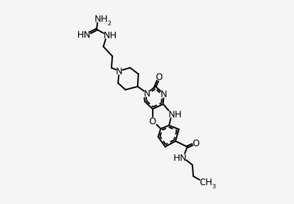 CCCNC(=O)c1ccc2c(c1)Nc1nc(=O)n(C3CCN(CCCNC(=N)N)CC3)cc1O2